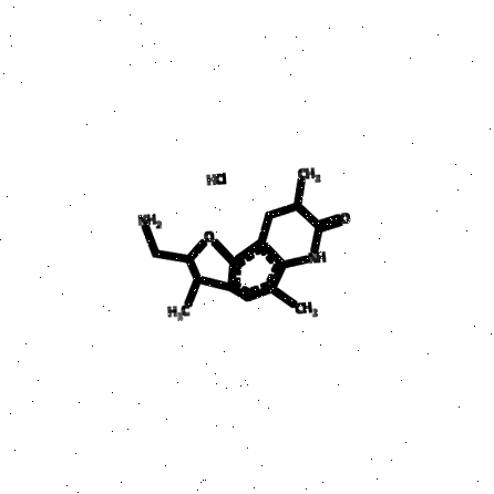 Cc1cc2c(c3c1NC(=O)C(C)C3)OC(CN)C2C.Cl